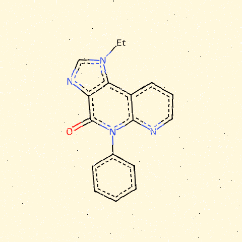 CCn1cnc2c(=O)n(-c3ccccc3)c3ncccc3c21